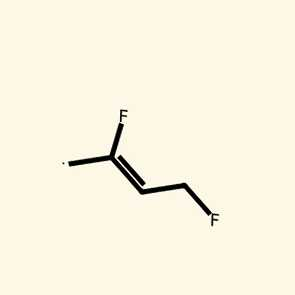 [CH2]C(F)=CCF